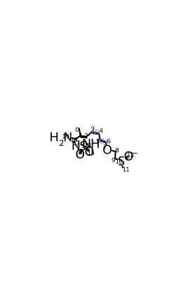 CC1=C(/C=C\C=C\OCC[S+](C)[O-])NS(=O)(=O)N=C1N